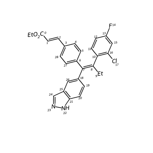 CCOC(=O)/C=C/c1ccc(/C(=C(/CC)c2ccc(F)cc2Cl)c2ccc3[nH]ncc3c2)cc1